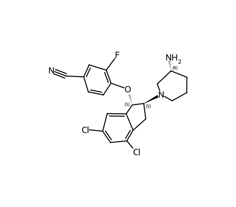 N#Cc1ccc(O[C@H]2c3cc(Cl)cc(Cl)c3C[C@@H]2N2CCC[C@@H](N)C2)c(F)c1